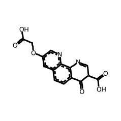 O=C(O)COc1cnc2c3c(ccc2c1)C(=O)C(C(=O)O)C=N3